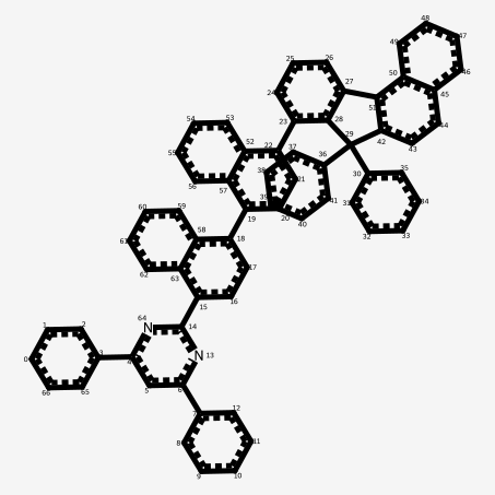 c1ccc(-c2cc(-c3ccccc3)nc(-c3ccc(-c4ccc(-c5cccc6c5C(c5ccccc5)(c5ccccc5)c5ccc7ccccc7c5-6)c5ccccc45)c4ccccc34)n2)cc1